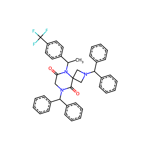 CC(c1ccc(C(F)(F)F)cc1)N1C(=O)CN(C(c2ccccc2)c2ccccc2)C(=O)C12CN(C(c1ccccc1)c1ccccc1)C2